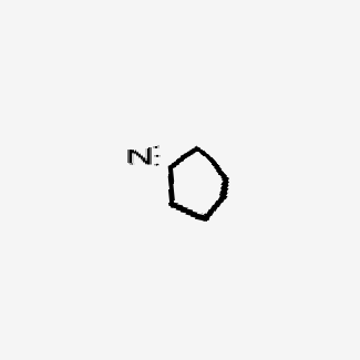 C1CCCC1.[N]